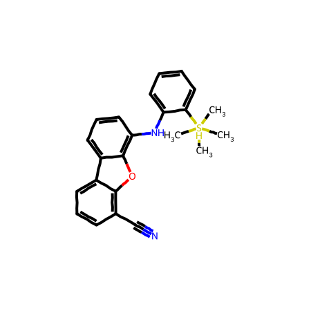 C[SH](C)(C)(C)c1ccccc1Nc1cccc2c1oc1c(C#N)cccc12